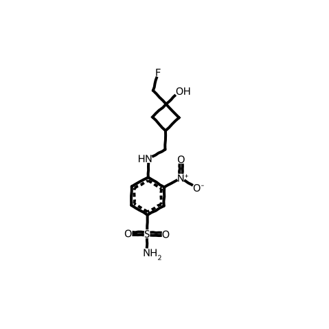 NS(=O)(=O)c1ccc(NCC2CC(O)(CF)C2)c([N+](=O)[O-])c1